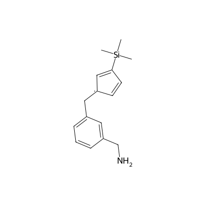 C[Si](C)(C)C1=C[C](Cc2cccc(CN)c2)C=C1